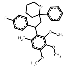 COc1cc(C)c(C(CC2(c3ccccc3)CCCC[Se]2)c2ccc(F)cc2)c(OC)c1OC